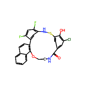 O=C1NCCOc2c(ccc3ccccc23)-c2cc(c(F)cc2F)NSc2cc1cc(Cl)c2O